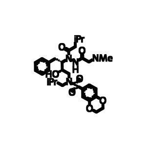 CNCC(=O)NN(C(=O)CC(C)C)[C@@H](Cc1ccccc1)[C@H](O)CN(CC(C)C)S(=O)(=O)c1ccc2c(c1)OCCO2